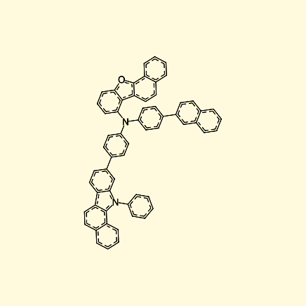 c1ccc(-n2c3cc(-c4ccc(N(c5ccc(-c6ccc7ccccc7c6)cc5)c5cccc6oc7c8ccccc8ccc7c56)cc4)ccc3c3ccc4ccccc4c32)cc1